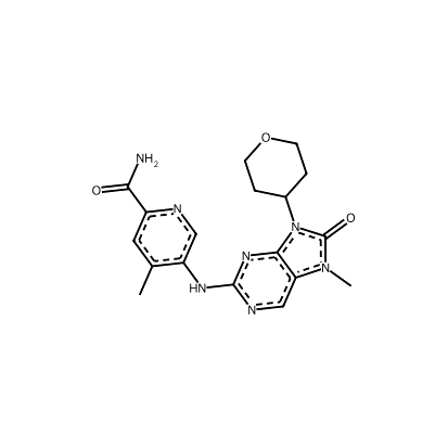 Cc1cc(C(N)=O)ncc1Nc1ncc2c(n1)n(C1CCOCC1)c(=O)n2C